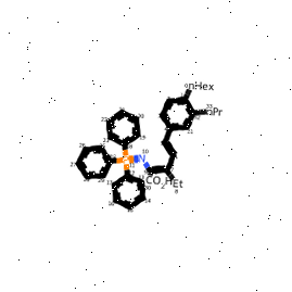 CCCCCCc1ccc(C=CC(CC)=C(N=P(c2ccccc2)(c2ccccc2)c2ccccc2)C(=O)O)cc1CCC